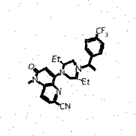 CC[C@H]1CN(C(C)c2ccc(C(F)(F)F)cc2)[C@H](CC)CN1c1cc(=O)n(C)c2ccc(C#N)nc12